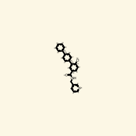 O=C(NCc1cccnc1)c1ccc(Cl)c(-c2ccc(-c3ccccc3)cc2)c1